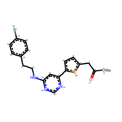 COC(=O)Cc1ccc(-c2cc(NCCc3ccc(Br)cc3)ncn2)s1